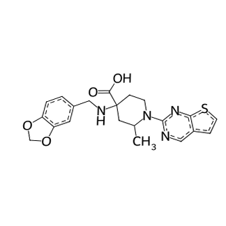 CC1CC(NCc2ccc3c(c2)OCO3)(C(=O)O)CCN1c1ncc2ccsc2n1